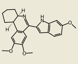 COc1ccc2cc(C3=N[C@@H]4CCCC[C@@H]4c4cc(OC)c(OC)cc43)[nH]c2c1